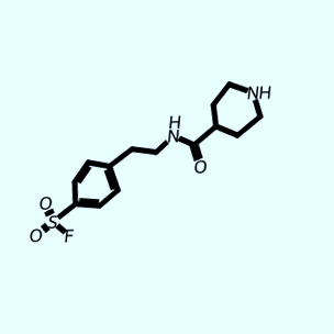 O=C(NCCc1ccc(S(=O)(=O)F)cc1)C1CCNCC1